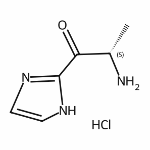 C[C@H](N)C(=O)c1ncc[nH]1.Cl